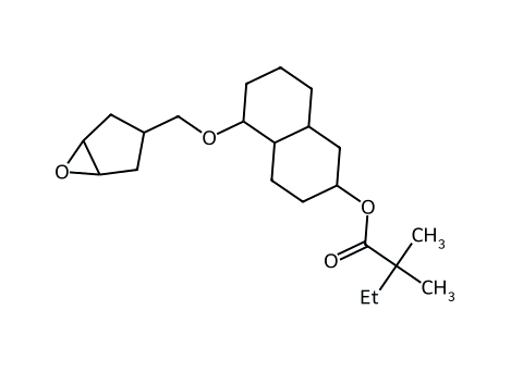 CCC(C)(C)C(=O)OC1CCC2C(CCCC2OCC2CC3OC3C2)C1